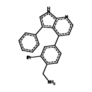 CC(C)c1cc(-c2ccnc3[nH]cc(-c4ccccc4)c23)ccc1CN